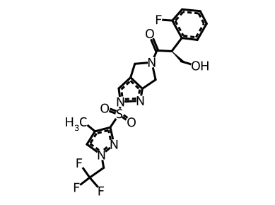 Cc1cn(CC(F)(F)F)nc1S(=O)(=O)n1cc2c(n1)CN(C(=O)[C@H](CO)c1ccccc1F)C2